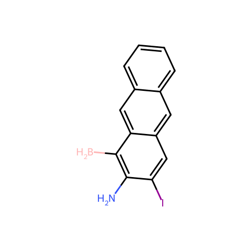 Bc1c(N)c(I)cc2cc3ccccc3cc12